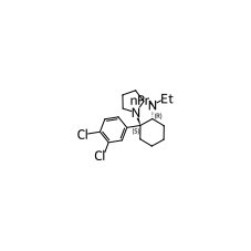 CCCN(CC)[C@@H]1CCCC[C@@]1(c1ccc(Cl)c(Cl)c1)N1CCCC1